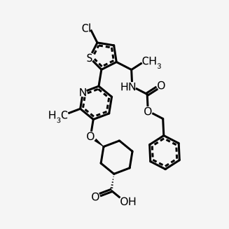 Cc1nc(-c2sc(Cl)cc2C(C)NC(=O)OCc2ccccc2)ccc1O[C@H]1CCC[C@H](C(=O)O)C1